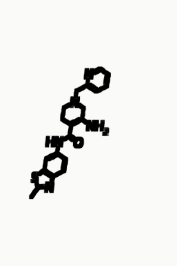 Cc1nc2ccc(NC(=O)C3=C(N)CN(Cc4ccccn4)CC3)cc2s1